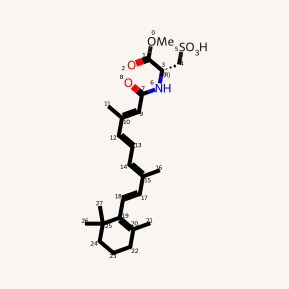 COC(=O)[C@H](CS(=O)(=O)O)NC(=O)C=C(C)C=CC=C(C)C=CC1=C(C)CCCC1(C)C